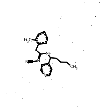 CCCCC(N/C(Cc1ccccc1C)=N/C#N)c1ccncc1